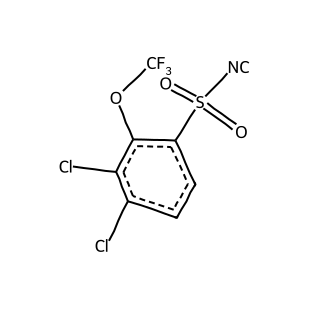 [C-]#[N+]S(=O)(=O)c1ccc(Cl)c(Cl)c1OC(F)(F)F